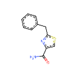 NC(=O)c1csc(Cc2ccccc2)n1